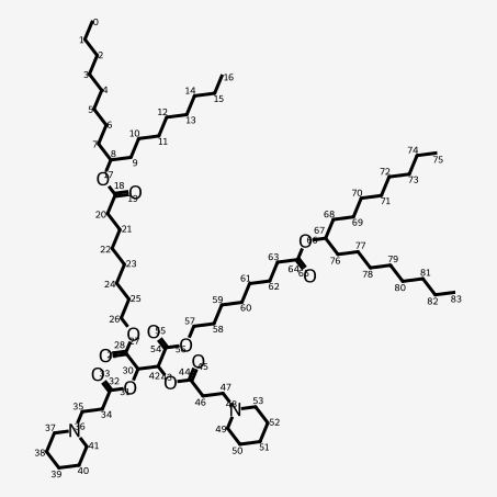 CCCCCCCCC(CCCCCCCC)OC(=O)CCCCCCCOC(=O)C(OC(=O)CCN1CCCCC1)C(OC(=O)CCN1CCCCC1)C(=O)OCCCCCCCC(=O)OC(CCCCCCCC)CCCCCCCC